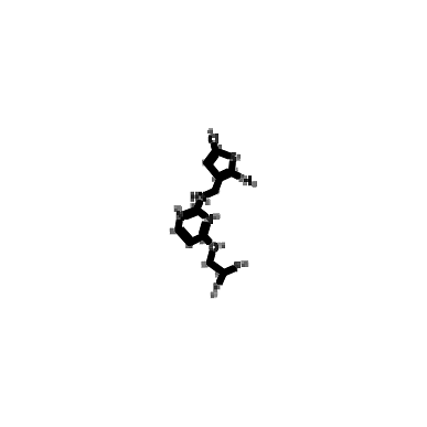 [2H]c1sc(Cl)cc1CNc1nccc(OCC(F)F)n1